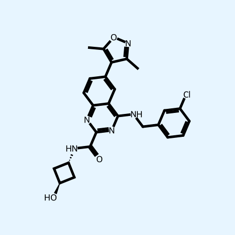 Cc1noc(C)c1-c1ccc2nc(C(=O)N[C@H]3C[C@H](O)C3)nc(NCc3cccc(Cl)c3)c2c1